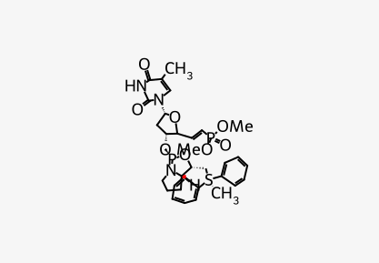 COP(=O)(/C=C/C1O[C@@H](n2cc(C)c(=O)[nH]c2=O)C[C@H]1O[P@@]1O[C@H](CS(C)(c2ccccc2)c2ccccc2)[C@@H]2CCCN21)OC